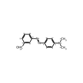 CN(C)c1ccc(/N=N/c2cccc(C=O)c2)cc1